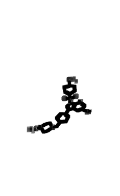 Cc1ccc(S(=O)(=O)n2cc(-c3ccc(CN4CCN(C)CC4)cc3)c3cc(Br)cnc32)cc1